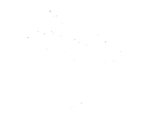 COc1c(OCCCN(C)C)cccc1C1OC(CC(=O)NCc2ccccc2F)C(=O)N(CC(C)(C)C)c2ccc(Cl)cc21.Cl